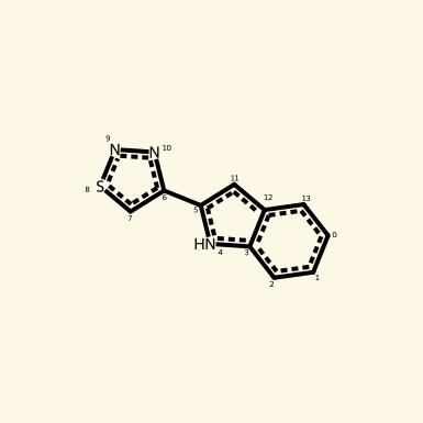 c1ccc2[nH]c(-c3csnn3)cc2c1